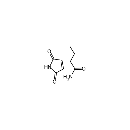 CCCC(N)=O.O=C1C=CC(=O)N1